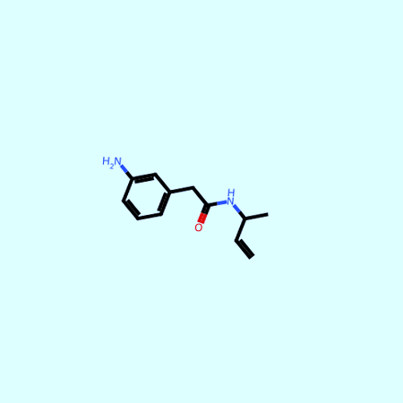 C=CC(C)NC(=O)Cc1cccc(N)c1